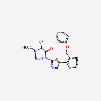 CCCC(C(=O)Nc1ncc(-c2ccccc2COc2ccccc2)s1)N(C(=O)O)C(C)(C)C